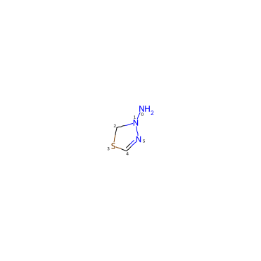 NN1CSC=N1